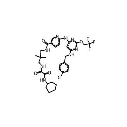 CC(C)(CNC(=O)C(=O)NC1CCCCC1)CNC(=O)c1ccc(Nc2cc(NCc3ccc(Cl)cc3)nc(OCC(F)(F)F)n2)nc1